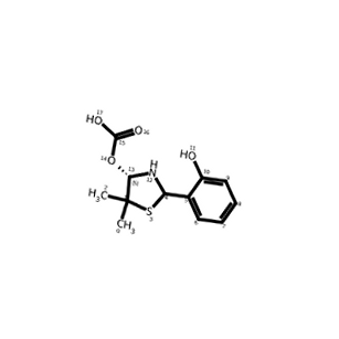 CC1(C)SC(c2ccccc2O)N[C@H]1OC(=O)O